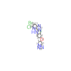 Fc1cc(Oc2ccn3ncnc3c2)ccc1Nc1ncnc2cc(Br)c(Cl)nc12